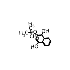 CC(C)(C)Oc1cc(O)c2ccccc2c1O